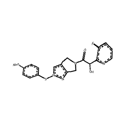 COc1ccc(Sn2cc3c(n2)CN(C(=O)C(O)c2ncccc2F)C3)cc1